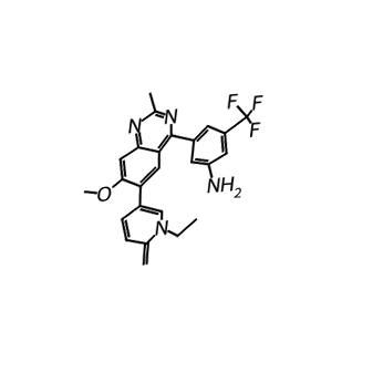 C=C1C=CC(c2cc3c(-c4cc(N)cc(C(F)(F)F)c4)nc(C)nc3cc2OC)=CN1CC